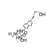 CC(C)(N)C(NC(=O)c1ccc2cc(C#CC3CC3CO)ccc2c1)C(=O)NO